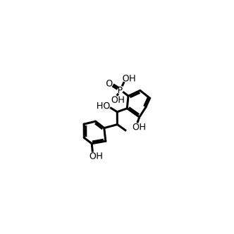 CC(c1cccc(O)c1)C(O)c1c(O)cccc1P(=O)(O)O